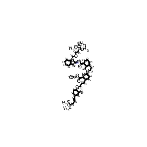 CN(C)CC#Cc1ccc(OCCCc2ccc(N3CCc4cccc(C(=O)/N=c5\sc6ccccc6n5COCC[Si](C)(C)C)c4C3)nc2C(=O)OC(C)(C)C)c(F)c1